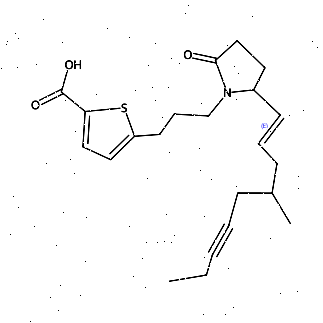 CCC#CCC(C)C/C=C/C1CCC(=O)N1CCCc1ccc(C(=O)O)s1